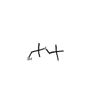 CC(C)(C)CSC(C)(C)CS